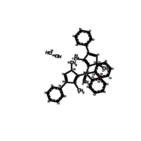 CC1=[C]([Zr](=[SiH2])([C]2=C(C)C(c3ccccc3)=CC2C)([c]2ccccc2)[c]2ccccc2)C(C)C=C1c1ccccc1.Cl.Cl